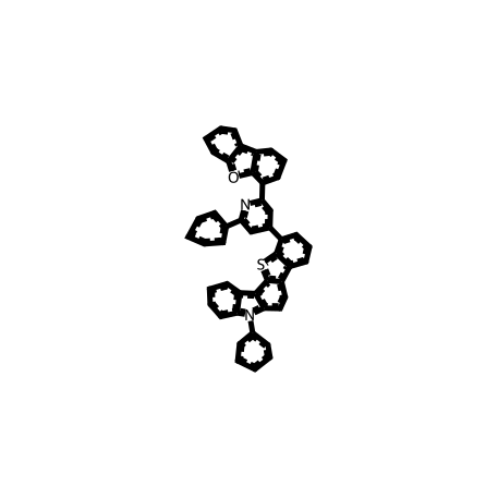 c1ccc(-c2cc(-c3cccc4c3sc3c4ccc4c3c3ccccc3n4-c3ccccc3)cc(-c3cccc4c3oc3ccccc34)n2)cc1